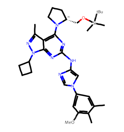 COc1cc(-n2cnc(Nc3nc(N4CCC[C@@H]4CO[Si](C)(C)C(C)(C)C)c4c(C)nn(C5CCC5)c4n3)c2)cc(C)c1C